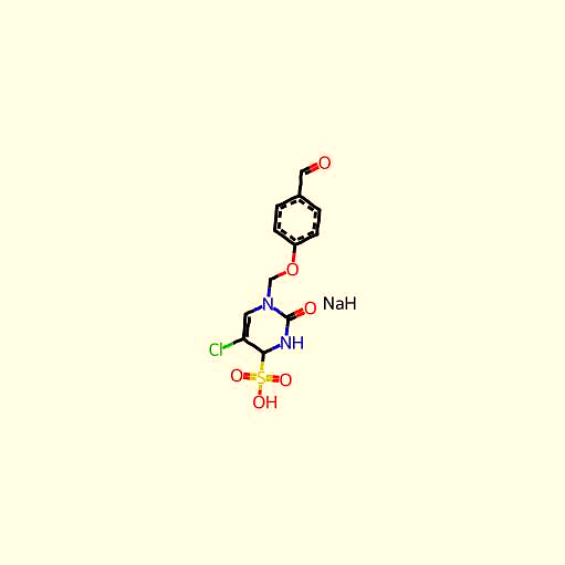 O=Cc1ccc(OCN2C=C(Cl)C(S(=O)(=O)O)NC2=O)cc1.[NaH]